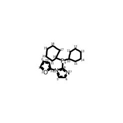 c1coc(-n2ccnc2P(C2CCCCC2)C2CCCCC2)c1